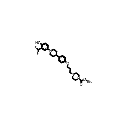 CC(C)(C)OC(=O)N1CCN(CCCOc2ccc(C3CCN(c4ccc(C#N)c(C(F)F)c4)CC3)cc2)CC1